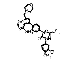 Cc1ccc(NC(=O)N(OC(=O)C(F)(F)F)c2ccc(-c3cc(CN4CCOCC4)n4ncnc(N)c34)cc2)cc1Cl